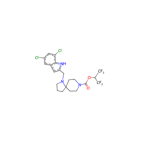 O=C(OC(C(F)(F)F)C(F)(F)F)N1CCC2(CCCN2Cc2cc3cc(Cl)cc(Cl)c3[nH]2)CC1